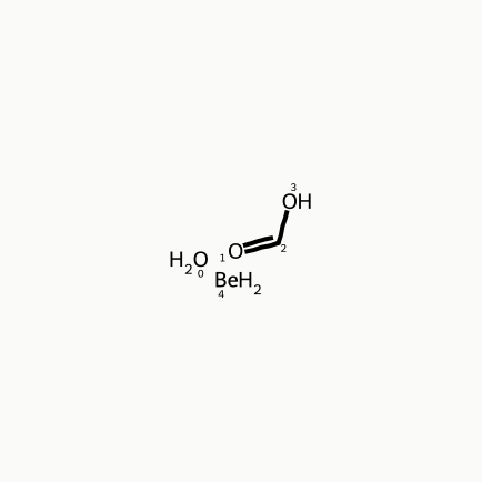 O.O=CO.[BeH2]